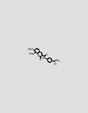 CCOc1c(OC)ccc2cc(C(=O)Nc3ccc([C@H](N)CC)cc3)c(=O)oc12